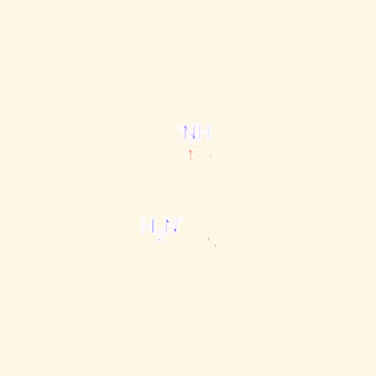 CNS(=O)(=O)c1ccc(SC)c(N)c1